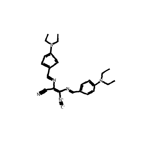 [C-]#[N+]C(/N=C/c1ccc(N(CC)CC)cc1)=C(C#N)/N=C/c1ccc(N(CC)CC)cc1